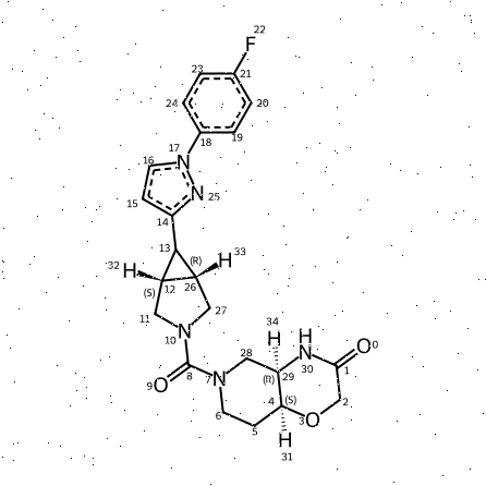 O=C1CO[C@H]2CCN(C(=O)N3C[C@@H]4C(c5ccn(-c6ccc(F)cc6)n5)[C@@H]4C3)C[C@H]2N1